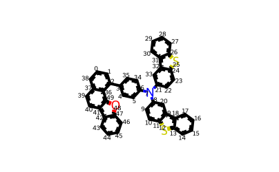 c1cc(-c2ccc(N(c3ccc4sc5ccccc5c4c3)c3ccc4sc5ccccc5c4c3)cc2)c2c(c1)ccc1c3ccccc3oc12